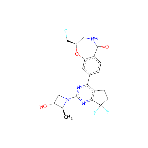 C[C@H]1[C@H](O)CN1c1nc(-c2ccc3c(c2)O[C@@H](CF)CNC3=O)c2c(n1)C(F)(F)CC2